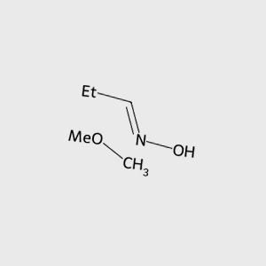 CCC=NO.COC